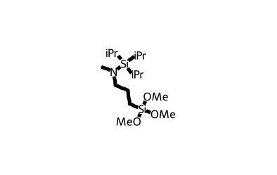 CO[Si](CCCN(C)[Si](C(C)C)(C(C)C)C(C)C)(OC)OC